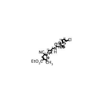 CCOC(=O)c1cc(C#N)c(N2CC(CNC(=O)NS(=O)(=O)c3ccc(Cl)s3)C2)nc1C